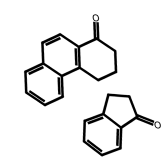 O=C1CCCc2c1ccc1ccccc21.O=C1CCc2ccccc21